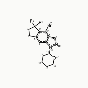 FC1(F)CCc2cc3c(cnn3C3CCCCO3)c(Br)c21